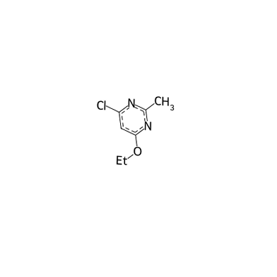 CCOc1cc(Cl)nc(C)n1